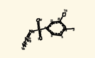 Cc1ccc(S(=O)(=O)N=[N+]=[N-])cc1Cl